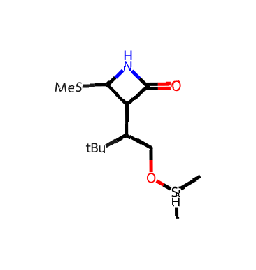 CSC1NC(=O)C1C(CO[SiH](C)C)C(C)(C)C